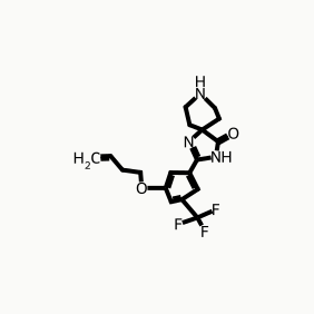 C=CCCOc1cc(C2=NC3(CCNCC3)C(=O)N2)cc(C(F)(F)F)c1